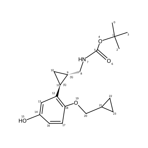 CC(C)(C)OC(=O)NC[C@H]1C[C@@H]1c1cc(O)ccc1OCC1CC1